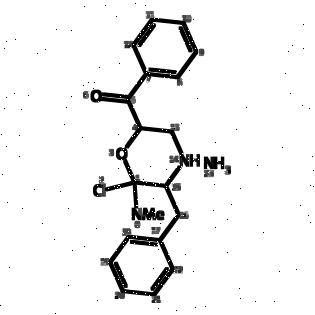 CNC1(Cl)OC(C(=O)c2ccccc2)CNC1Cc1ccccc1.N